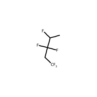 CC(F)C(F)(F)CC(F)(F)F